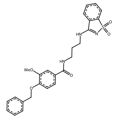 COc1cc(C(=O)NCCCNC2=NS(=O)(=O)c3ccccc32)ccc1OCc1ccccc1